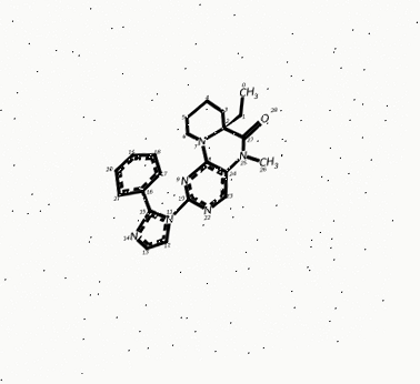 CC[C@]12CCCCN1c1nc(-n3ccnc3-c3ccccc3)ncc1N(C)C2=O